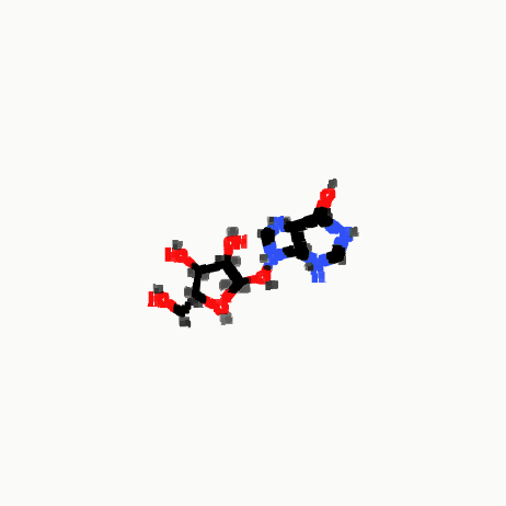 O=c1nc[nH]c2c1ncn2O[C@H]1O[C@H](CO)[C@@H](O)[C@H]1O